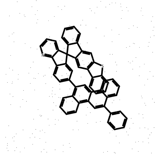 c1ccc(-c2cc3c4ccccc4c(-c4ccc5c(c4)C4(c6ccccc6-c6cc7sc8ccccc8c7cc64)c4cccnc4-5)cc3c3ccccc23)cc1